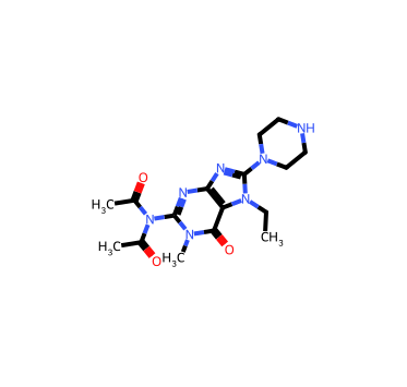 CCn1c(N2CCNCC2)nc2nc(N(C(C)=O)C(C)=O)n(C)c(=O)c21